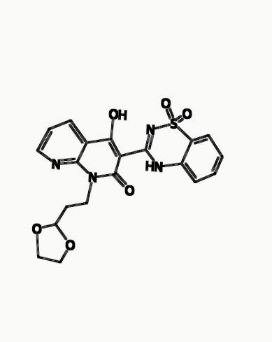 O=c1c(C2=NS(=O)(=O)c3ccccc3N2)c(O)c2cccnc2n1CCC1OCCO1